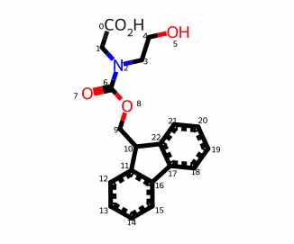 O=C(O)CN(CCO)C(=O)OCC1c2ccccc2-c2ccccc21